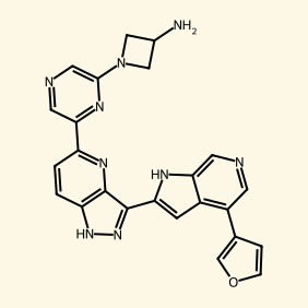 NC1CN(c2cncc(-c3ccc4[nH]nc(-c5cc6c(-c7ccoc7)cncc6[nH]5)c4n3)n2)C1